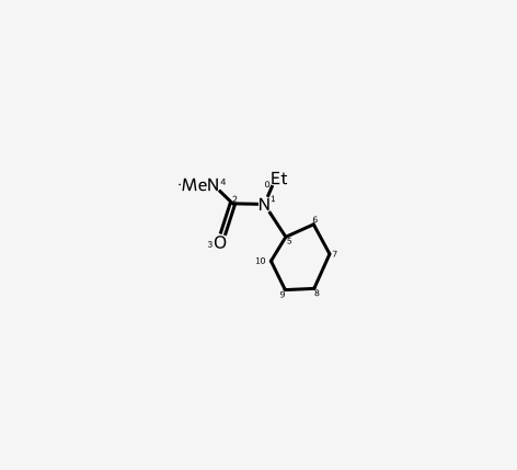 CCN(C(=O)[N]C)C1CCCCC1